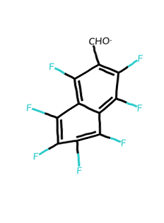 O=[C]c1c(F)c(F)c2c(F)c(F)c(F)c(F)c2c1F